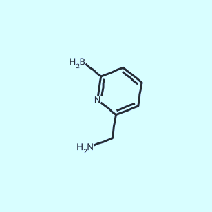 Bc1cccc(CN)n1